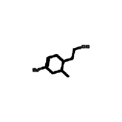 CC1CC(C(C)(C)C)=CCC1CCC=O